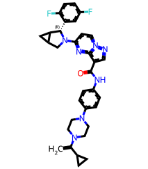 C=C(C1CC1)N1CCN(c2ccc(NC(=O)c3cnn4ccc(N5CC6CC6[C@@H]5c5cc(F)ccc5F)nc34)cc2)CC1